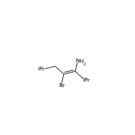 CC(C)CC(Br)=C(N)C(C)C